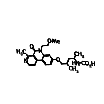 COCCn1c(=O)c2c(C)nccc2c2ccc(OCC(C)CC(C)NC(=O)O)cc21